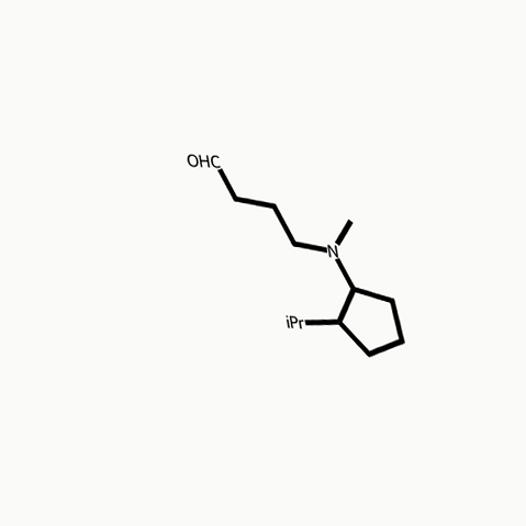 CC(C)C1CCCC1N(C)CCCC=O